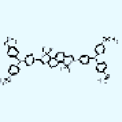 COc1ccc(N(c2ccc(C=Cc3ccc4c(C(F)(F)F)c(C=Cc5ccc(N(c6ccc(OC)cc6)c6ccc(OC)cc6)cc5)ccc4c3C(F)(F)F)cc2)c2ccc(OC)cc2)cc1